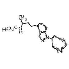 CC(CCc1cccc2c1cnn2-c1cncnc1)NC(=O)O